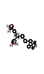 c1cc(-c2cccc(-c3cccc4c3-c3ccccc3C43c4ccccc4Oc4ccccc43)c2)cc(-c2nc(-c3ccc(C45CC6C[C@H](C4)C[C@@H](C6)C5)cc3)nc(C34CC5CC[C@H](C[C@@H](C5)C3)C4)n2)c1